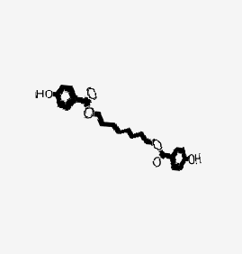 O=C(OCCCCCCCCOC(=O)c1ccc(O)cc1)c1ccc(O)cc1